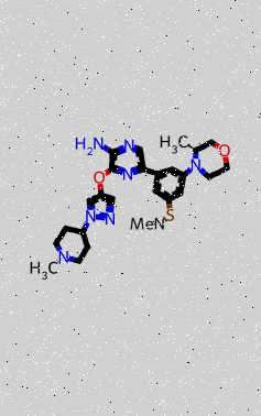 CNSc1cc(-c2cnc(N)c(Oc3cnn(C4CCN(C)CC4)c3)n2)cc(N2CCOC[C@H]2C)c1